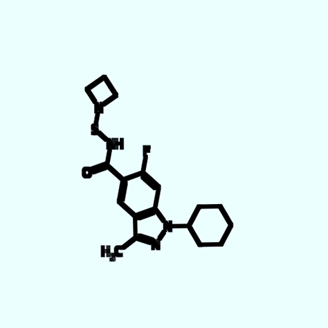 Cc1nn(C2CCCCC2)c2cc(F)c(C(=O)NSN3CCC3)cc12